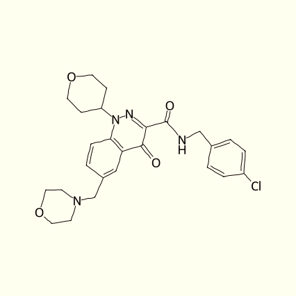 O=C(NCc1ccc(Cl)cc1)c1nn(C2CCOCC2)c2ccc(CN3CCOCC3)cc2c1=O